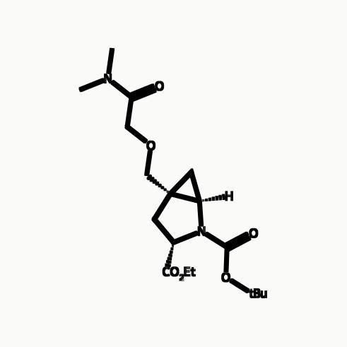 CCOC(=O)[C@@H]1C[C@@]2(COCC(=O)N(C)C)C[C@H]2N1C(=O)OC(C)(C)C